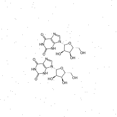 O=c1[nH]c(=O)c2ncn([C@@H]3O[C@H](CO)[C@@H](O)[C@H]3O)c2[nH]1.O=c1[nH]c(=O)c2ncn([C@@H]3O[C@H](CO)[C@@H](O)[C@H]3O)c2[nH]1